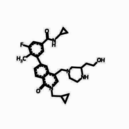 Cc1c(F)cc(C(=O)NC2CC2)cc1-c1ccc2c(=O)n(CC3CC3)cc(CN3CCNC(CCO)C3)c2c1